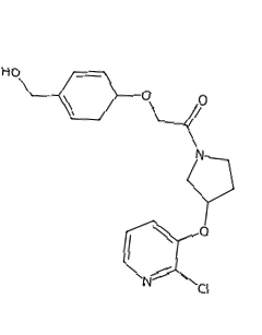 O=C(COC1C=CC(CO)=CC1)N1CCC(Oc2cccnc2Cl)C1